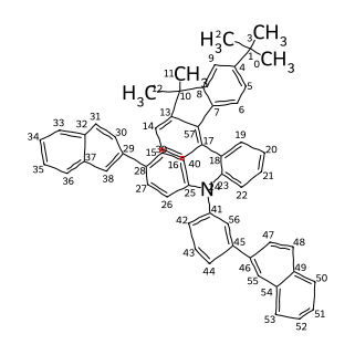 CC(C)(C)c1ccc2c(c1)C(C)(C)c1cccc(-c3ccccc3N(c3ccc(-c4ccc5ccccc5c4)cc3)c3cccc(-c4ccc5ccccc5c4)c3)c1-2